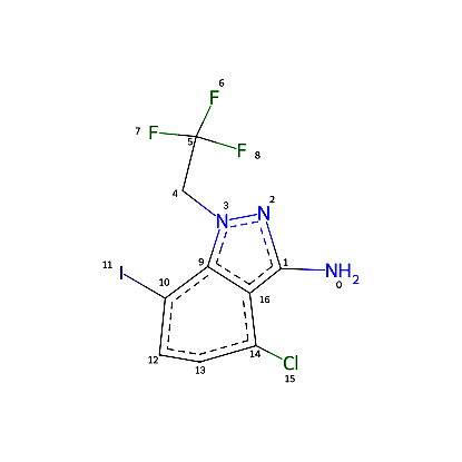 Nc1nn(CC(F)(F)F)c2c(I)ccc(Cl)c12